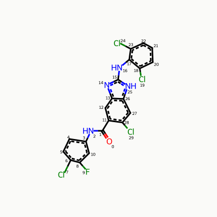 O=C(Nc1ccc(Cl)c(F)c1)c1cc2nc(Nc3c(Cl)cccc3Cl)[nH]c2cc1Cl